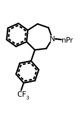 CCCN1CCc2ccccc2C(c2ccc(C(F)(F)F)cc2)C1